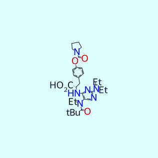 CCN(CC)c1ncc(N(CC)C(=O)C(C)(C)C)c(N[C@@H](Cc2ccc(OC(=O)N3CCCC3)cc2)C(=O)O)n1